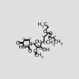 CCOP(=O)(C[C@H](C)[C@H]1O[C@@H](n2ccc(=O)[nH]c2=O)C(OC)C1O)OCC